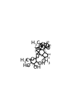 CC(C)C1=CC2CC3(C4OCCO4)C4CCC(C)C4CC2(CO[C@@H]2O[C@H](C)[C@@H](O)[C@@H](O)[C@@H]2O)C13C(=O)O